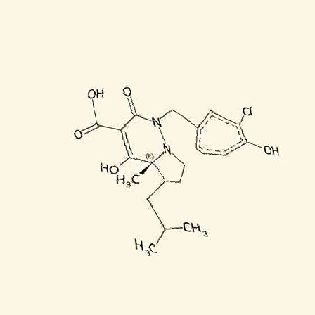 CC(C)CC1CCN2N(Cc3ccc(O)c(Cl)c3)C(=O)C(C(=O)O)=C(O)[C@@]12C